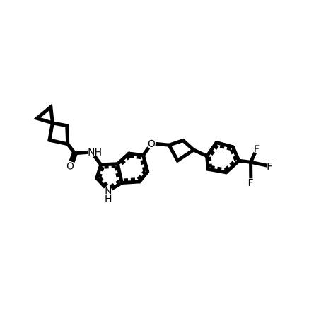 O=C(Nc1c[nH]c2ccc(OC3CC(c4ccc(C(F)(F)F)cc4)C3)cc12)C1CC2(CC2)C1